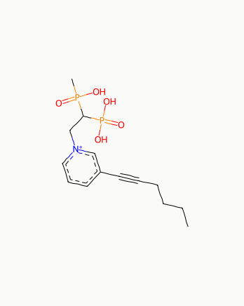 CCCCC#Cc1ccc[n+](CC(P(C)(=O)O)P(=O)(O)O)c1